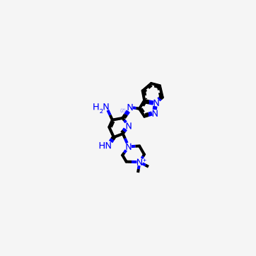 C[N+]1(C)CCN(C2=N/C(=N\c3cnn4ccccc34)C(N)=CC2=N)CC1